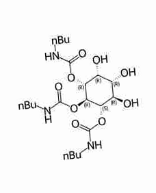 CCCCNC(=O)O[C@H]1[C@H](OC(=O)NCCCC)[C@H](O)[C@H](O)[C@@H](O)[C@@H]1OC(=O)NCCCC